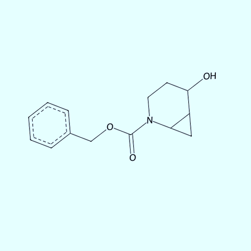 O=C(OCc1ccccc1)N1CCC(O)C2CC21